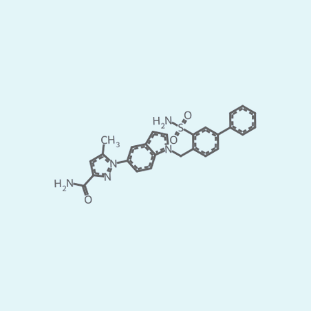 Cc1cc(C(N)=O)nn1-c1ccc2c(ccn2Cc2ccc(-c3ccccc3)cc2S(N)(=O)=O)c1